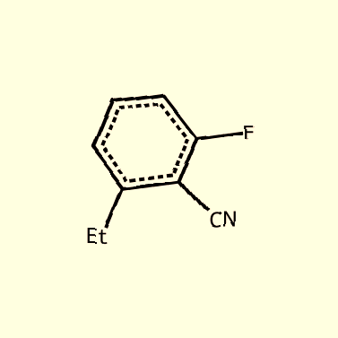 [CH2]Cc1cccc(F)c1C#N